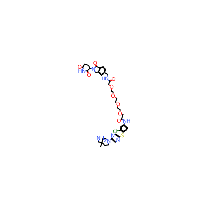 CC1(CN)CCN(c2cnc(Sc3ccc(NC(=O)COCCOCCOCCOCC(=O)NCc4ccc5c(c4)CN(C4CCC(=O)NC4=O)C5=O)cc3Cl)cn2)CC1